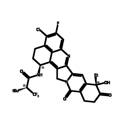 CC[C@@]1(O)C(=O)CCc2c1cc1n(c2=O)Cc2c-1nc1cc(F)c(Cl)c3c1c2[C@@H](NC(=O)[C@@H](C(C)(C)C)C(F)(F)F)CC3